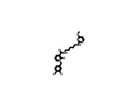 COc1ccnc(NCCCCCNC(=O)c2cccn(Cc3ccc(Cl)c(Cl)c3)c2=O)n1